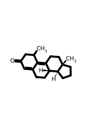 CC1CC(=O)C=C2CC[C@@H]3C(=C21)CC[C@]1(C)CCC[C@@H]31